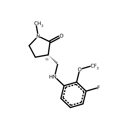 CN1CC[C@@H](CNc2cccc(F)c2OC(F)(F)F)C1=O